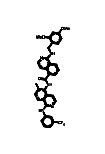 COc1ccc(CNc2nccc3c(C(=O)Nc4c(C)ccc5c(Nc6cccc(C(F)(F)F)c6)nccc45)cccc23)c(OC)c1